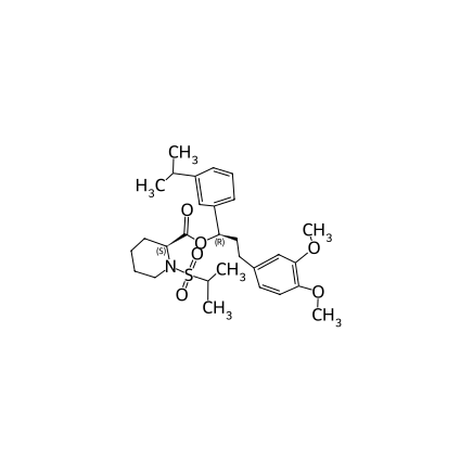 COc1ccc(CC[C@@H](OC(=O)[C@@H]2CCCCN2S(=O)(=O)C(C)C)c2cccc(C(C)C)c2)cc1OC